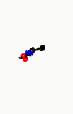 CCOC(=O)c1cn2cc(C#C[Si](C)(C)C)ccc2n1